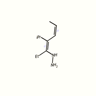 C/C=C\C(=C(\CC)NN)C(C)C